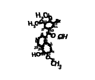 CCOc1ccc2c(C(=O)c3cc(Br)c(OC)c(OC)c3)cncc2c1O.Cl